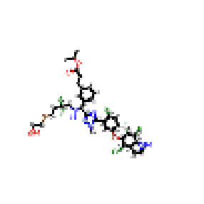 CC(C)OC(=O)CCc1cccc(C(NCC(F)(F)CCSCCO)c2nc(-c3cc(Oc4c(F)c(F)c5[nH]ccc5c4Br)ccc3F)n(C)n2)c1